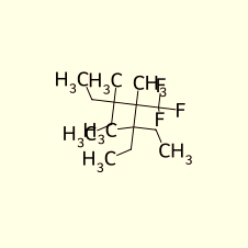 CCC(C)(CC)C(C)(C(F)(F)F)C(C)(CC)CC